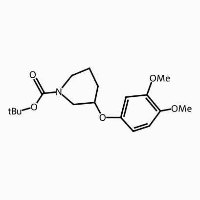 COc1ccc(OC2CCCN(C(=O)OC(C)(C)C)C2)cc1OC